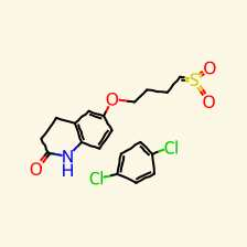 Clc1ccc(Cl)cc1.O=C1CCc2cc(OCCCC=S(=O)=O)ccc2N1